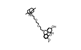 COc1ccc2c3c1O[C@H]1C[C@@H](O)C=C[C@@]31CCN(CCOCCOCCNC13CC4CC(C)(CC(C)(C4)C1)C3)C2